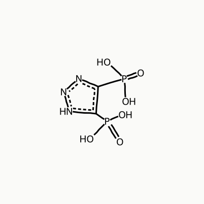 O=P(O)(O)c1nn[nH]c1P(=O)(O)O